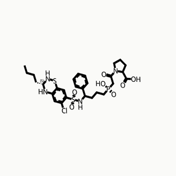 CCCC[C@@H]1NSc2cc(S(=O)(=O)NC(CCCP(=O)(O)CC(=O)N3CCCC3C(=O)O)c3ccccc3)c(Cl)cc2N1